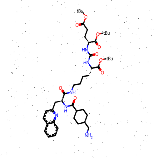 CC(C)(C)OC(=O)CC[C@H](NC(=O)N[C@@H](CCCCNC(=O)[C@H](Cc1ccc2ccccc2n1)NC(=O)C1CCC(CN)CC1)C(=O)OC(C)(C)C)C(=O)OC(C)(C)C